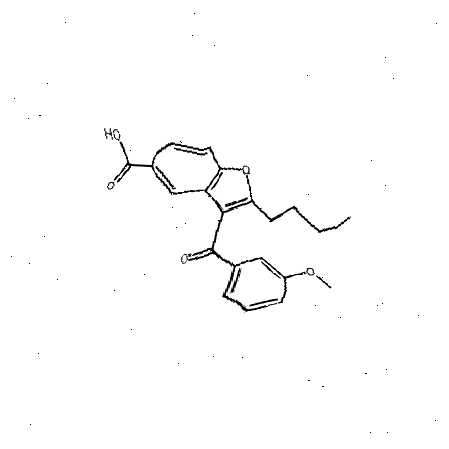 CCCCc1oc2ccc(C(=O)O)cc2c1C(=O)c1cccc(OC)c1